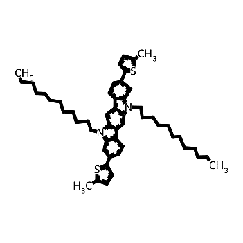 CCCCCCCCCCCCn1c2cc(-c3ccc(C)s3)ccc2c2cc3c(cc21)c1ccc(-c2ccc(C)s2)cc1n3CCCCCCCCCCCC